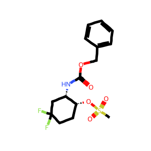 CS(=O)(=O)O[C@@H]1CCC(F)(F)C[C@@H]1NC(=O)OCc1ccccc1